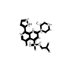 Cc1cnc(-c2ccn[nH]2)c2nc(N3CCOC[C@H]3C)cc(P(C)(=O)OCC(C)C)c12